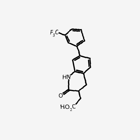 O=C(O)CC1Cc2ccc(-c3cccc(C(F)(F)F)c3)cc2NC1=O